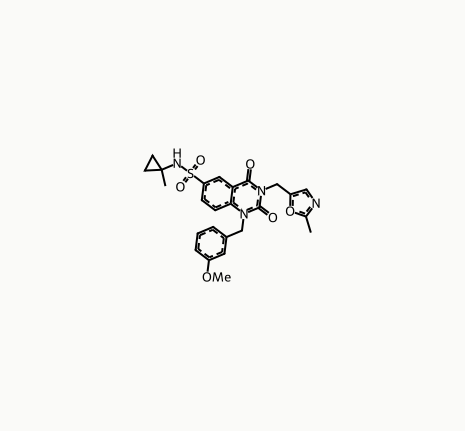 COc1cccc(Cn2c(=O)n(Cc3cnc(C)o3)c(=O)c3cc(S(=O)(=O)NC4(C)CC4)ccc32)c1